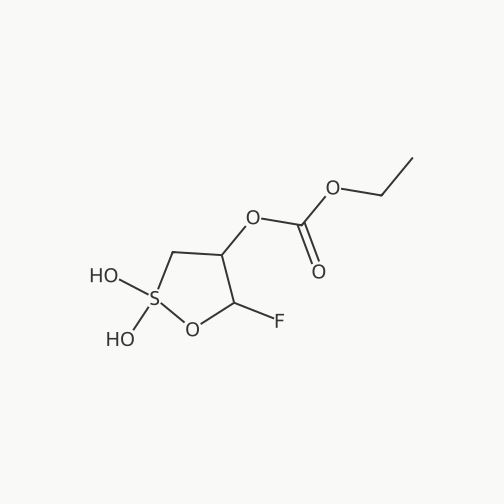 CCOC(=O)OC1CS(O)(O)OC1F